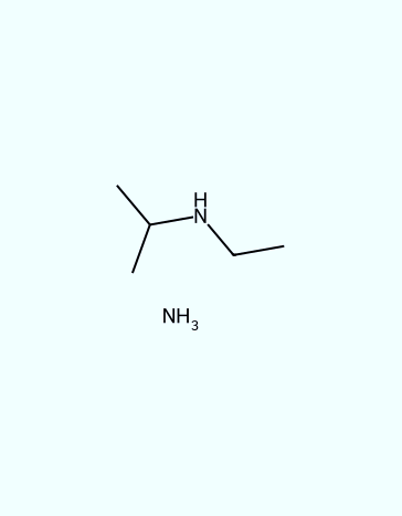 CCNC(C)C.N